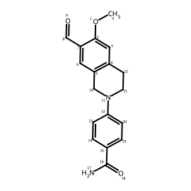 COc1cc2c(cc1C=O)CN(c1ccc(C(N)=O)cc1)CC2